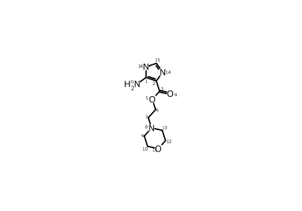 NC1=C(C(=O)OCCN2CCOCC2)N=C[N]1